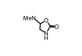 CNC1CNC(=O)O1